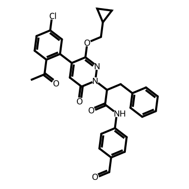 CC(=O)c1ccc(Cl)cc1-c1cc(=O)n(C(Cc2ccccc2)C(=O)Nc2ccc(C=O)cc2)nc1OCC1CC1